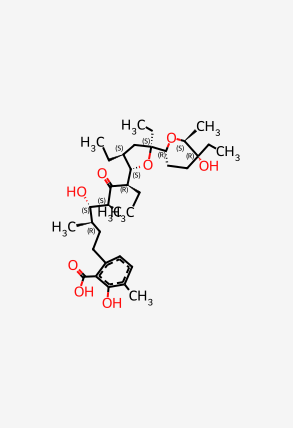 CC[C@H]1C[C@@](CC)([C@H]2CC[C@](O)(CC)[C@H](C)O2)O[C@@H]1[C@@H](CC)C(=O)[C@@H](C)[C@@H](O)[C@H](C)CCc1ccc(C)c(O)c1C(=O)O